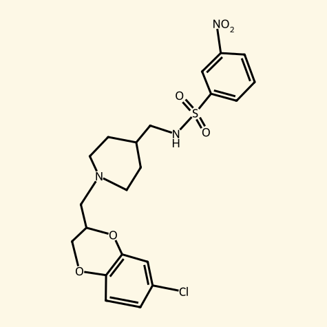 O=[N+]([O-])c1cccc(S(=O)(=O)NCC2CCN(CC3COc4ccc(Cl)cc4O3)CC2)c1